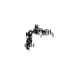 C[Si](C)(C)CCOCOc1ncc(-c2ccc3nnc(Sc4ccc5nc(NC(=O)C6CC6)cn5n4)n3c2)cc1C#N